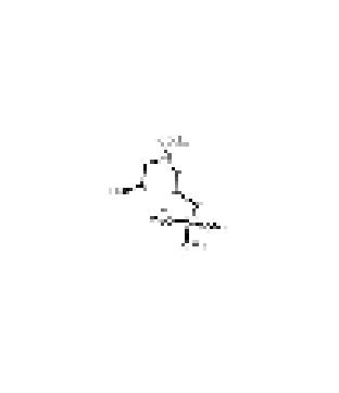 CCOC(=O)N(CCO)CCC[Si](OC)(OC)OC